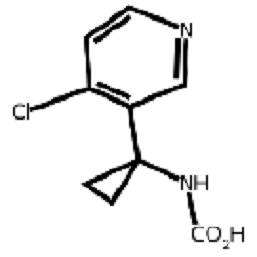 O=C(O)NC1(c2cnccc2Cl)CC1